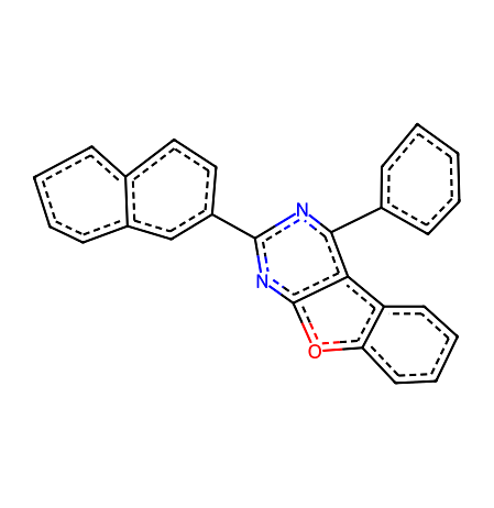 c1ccc(-c2nc(-c3ccc4ccccc4c3)nc3oc4ccccc4c23)cc1